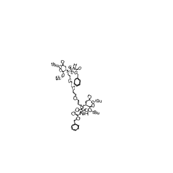 CC(C)(C)OC(=O)CC(C(=O)OC(C)(C)C)N(CCOCCOCCOCCN(C(CC(=O)OC(C)(C)C)C(=O)OC(C)(C)C)S(=O)(=O)NC(=O)OCc1ccccc1)S(=O)(=O)NC(=O)OCc1ccccc1